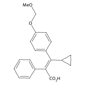 COCOc1ccc(/C(=C(/C(=O)O)c2ccccc2)C2CC2)cc1